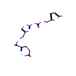 CN(Cc1csc(NC(=O)NCc2ccc(Cl)s2)n1)C(=O)C1=NN(C)C(=O)CC1